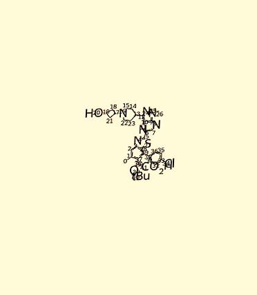 Cc1cc2nc(-c3cnc4c(n3)c(C3CCN([C@H]5C[C@@H](O)C5)CC3)nn4C)sc2c(-c2ccc(Cl)cc2)c1[C@H](OC(C)(C)C)C(=O)O